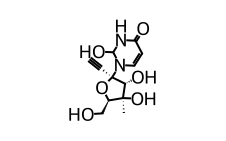 C#C[C@@]1(N2C=CC(=O)NC2O)O[C@H](CO)[C@](C)(O)[C@H]1O